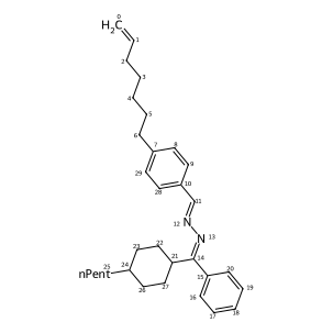 C=CCCCCCc1ccc(C=NN=C(c2ccccc2)C2CCC(CCCCC)CC2)cc1